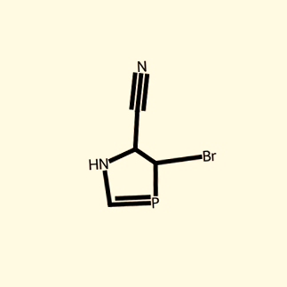 N#CC1NC=PC1Br